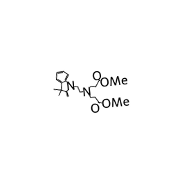 C=C1N(CCN(CCC(=O)OC)CCC(=O)OC)c2ccccc2C1(C)C